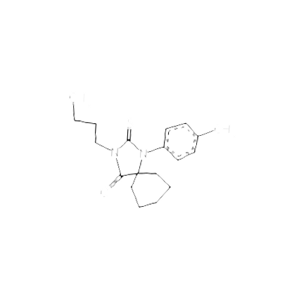 CCCCN1C(=O)C2(CCCCC2)N(c2ccc(C)cc2)C1=S